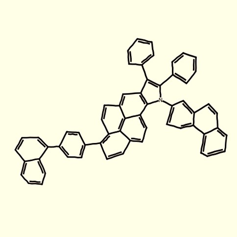 c1ccc(-c2c(-c3ccccc3)n(-c3ccc4c(ccc5ccccc54)c3)c3c2cc2ccc4c(-c5ccc(-c6cccc7ccccc67)cc5)ccc5ccc3c2c54)cc1